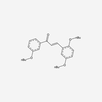 CCCCOc1cccc(C(=O)C=Cc2cc(OCCCC)ccc2OCCCC)c1